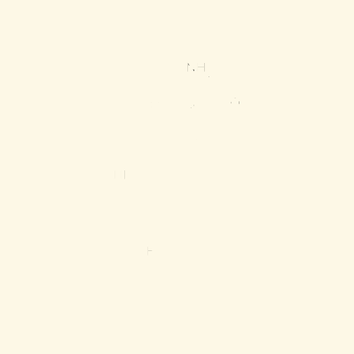 I.NS(=O)(=O)c1ccc(C(F)(F)F)cc1